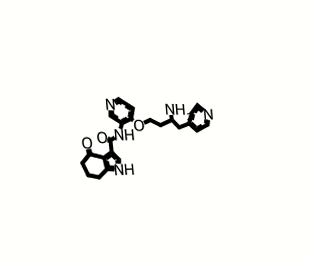 NC(CCOc1ccncc1NC(=O)c1c[nH]c2c1C(=O)CCC2)Cc1ccncc1